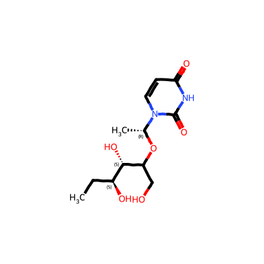 CC[C@H](O)[C@H](O)C(CO)O[C@H](C)n1ccc(=O)[nH]c1=O